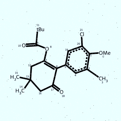 COc1c(C)cc(C2=C(OC(=O)C(C)(C)C)CC(C)(C)CC2=O)cc1Cl